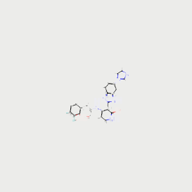 Cc1cc(-n2ccnc2)cc2[nH]c(-c3c(NC(CO)Cc4ccc(F)c(F)c4)cc[nH]c3=O)nc12